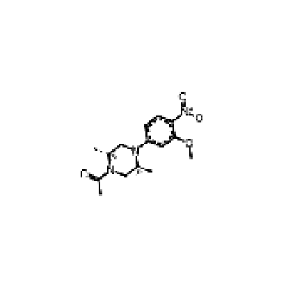 COc1cc(N2C[C@@H](C)N(C(C)=O)C[C@@H]2C)ccc1[N+](=O)[O-]